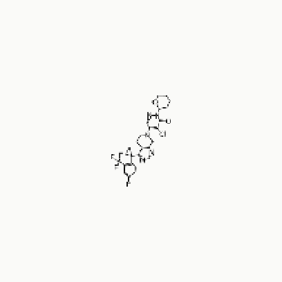 O=c1c(Cl)c(N2CCc3c(ncnc3C3(c4ccc(F)cc4C(F)(F)F)CC3)C2)cnn1C1CCCCO1